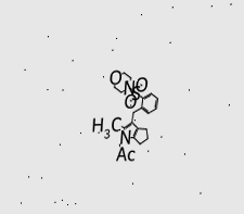 CC(=O)Cn1c(C)c(Cc2ccccc2S(=O)(=O)N2CCOCC2)c2c1CCC2